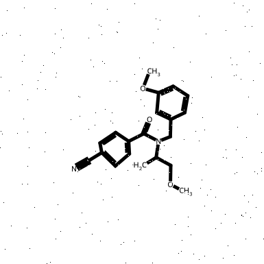 [CH2]C(COC)N(Cc1cccc(OC)c1)C(=O)c1ccc(C#N)cc1